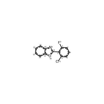 Fc1cccc(Cl)c1-c1nc2c[c]ccc2o1